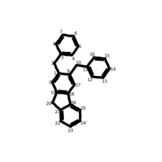 [c]1c(Cc2ccccc2)c(Cc2ccccc2)cc2c1Cc1ccccc1-2